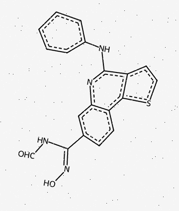 O=CN/C(=N\O)c1ccc2c(c1)nc(Nc1ccccc1)c1ccsc12